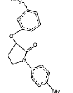 Nc1ccc(N2CCC(Oc3cccc(C(=O)O)c3)C2=O)cc1